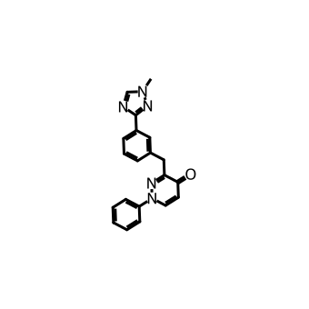 Cn1cnc(-c2cccc(Cc3nn(-c4ccccc4)ccc3=O)c2)n1